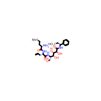 C=CC[C@H](NC(=O)[C@@H](N)CCSC)C(=O)N[C@@H](CO)[C@@H](O)[C@@H](O)[C@H](O)C(=O)N[C@@H](CC(=O)O)c1ccccc1